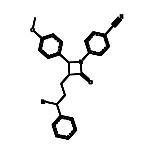 COc1ccc(C2C(CCC(Br)c3ccccc3)C(=O)N2c2ccc(C#N)cc2)cc1